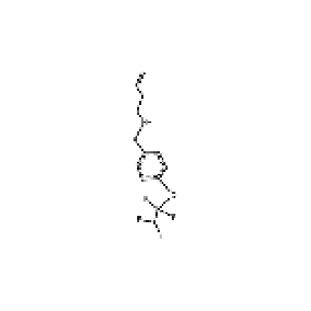 C=CCCNCc1ccc(OC(F)(F)C(F)F)cc1